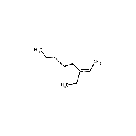 CC=C(CC)CCCCC